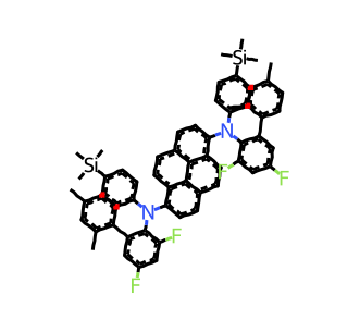 Cc1ccc(-c2cc(F)cc(F)c2N(c2ccc([Si](C)(C)C)cc2)c2ccc3ccc4c(N(c5ccc([Si](C)(C)C)cc5)c5c(F)cc(F)cc5-c5ccc(C)cc5C)ccc5ccc2c3c54)c(C)c1